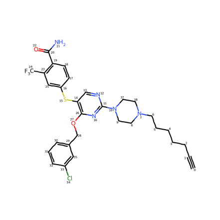 C#CCCCCCN1CCN(c2ncc(Sc3ccc(C(N)=O)c(C(F)(F)F)c3)c(OCc3cccc(Cl)c3)n2)CC1